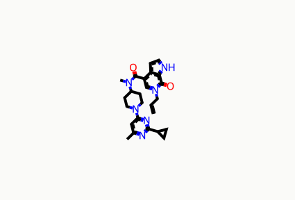 C=CCn1cc(C(=O)N(C)C2CCN(c3cc(C)nc(C4CC4)n3)CC2)c2cc[nH]c2c1=O